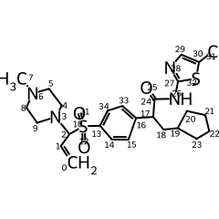 C=CC(N1CCN(C)CC1)S(=O)(=O)c1ccc(C(CC2CCCC2)C(=O)Nc2ncc(Cl)s2)cc1